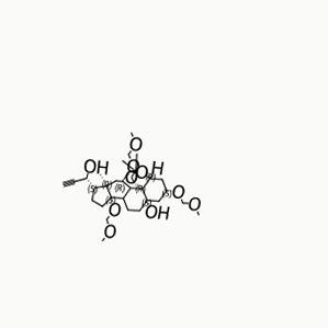 C#CC(O)[C@H]1CC[C@]2(OCOC)C3CC[C@]4(O)C[C@@H](OCOC)C[C@H]5OC(C)(C)OC[C@]54C3[C@H](OCOC)C[C@]12C